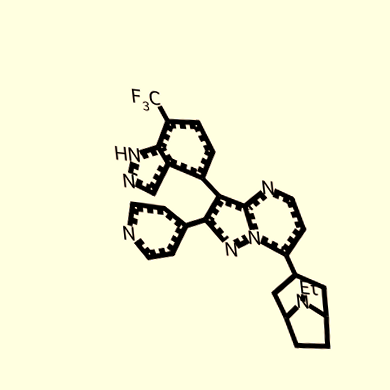 CCN1C2CCC1CC(c1ccnc3c(-c4ccc(C(F)(F)F)c5[nH]ncc45)c(-c4ccncc4)nn13)C2